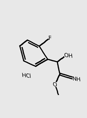 COC(=N)C(O)c1ccccc1F.Cl